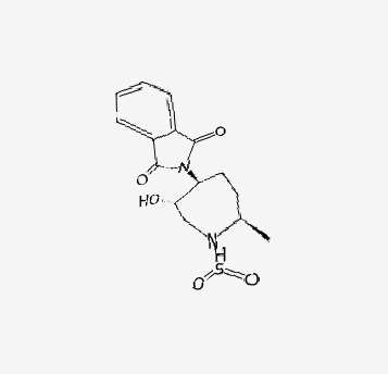 C[C@@H]1CC[C@H](N2C(=O)c3ccccc3C2=O)[C@@H](O)CN1[SH](=O)=O